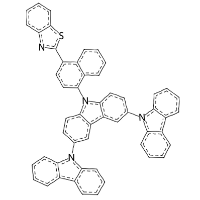 c1ccc2sc(-c3ccc(-n4c5ccc(-n6c7ccccc7c7ccccc76)cc5c5cc(-n6c7ccccc7c7ccccc76)ccc54)c4ccccc34)nc2c1